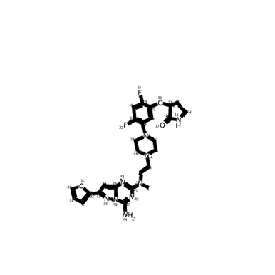 CN(CCN1CCN(c2cc(OC3CCNC3=O)c(F)cc2F)CC1)c1nc(N)n2nc(-c3ccco3)cc2n1